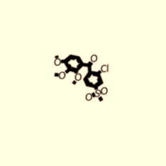 COc1ccc(C(=O)c2ccc(S(C)(=O)=O)cc2Cl)c(OC)c1OC